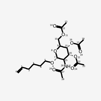 C=CCCCCO[C@@H]1OC(COC(C)=O)[C@H](OC(C)=O)[C@H](OC(C)=O)C1NC(C)=O